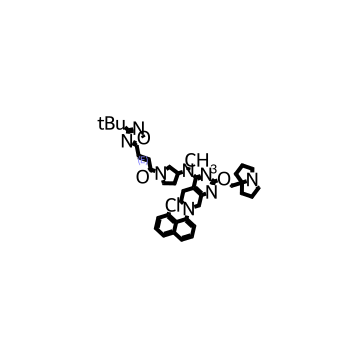 CN(c1nc(OCC23CCCN2CCC3)nc2c1CCN(c1cccc3cccc(Cl)c13)C2)C1CCN(C(=O)/C=C/c2nc(C(C)(C)C)no2)C1